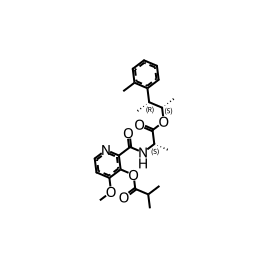 COc1ccnc(C(=O)N[C@@H](C)C(=O)O[C@@H](C)[C@H](C)c2ccccc2C)c1OC(=O)C(C)C